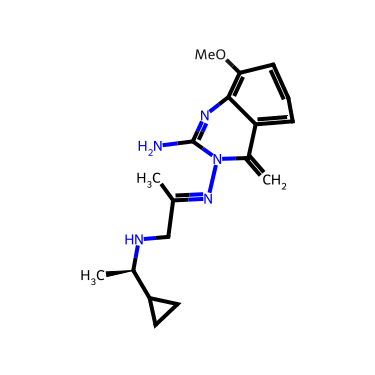 C=C1c2cccc(OC)c2N=C(N)N1/N=C(\C)CN[C@H](C)C1CC1